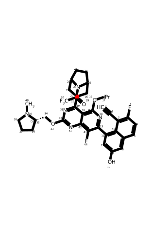 C#Cc1c(F)ccc2cc(O)cc(-c3nc(OC(C)C)c4c(N5CC6CCC(C5)N6C(=O)C(F)(F)F)nc(OC[C@@H]5CCCN5C)nc4c3F)c12